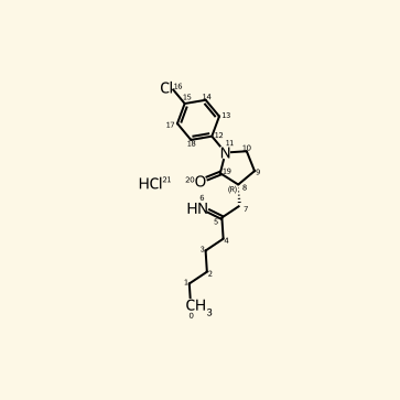 CCCCCC(=N)C[C@H]1CCN(c2ccc(Cl)cc2)C1=O.Cl